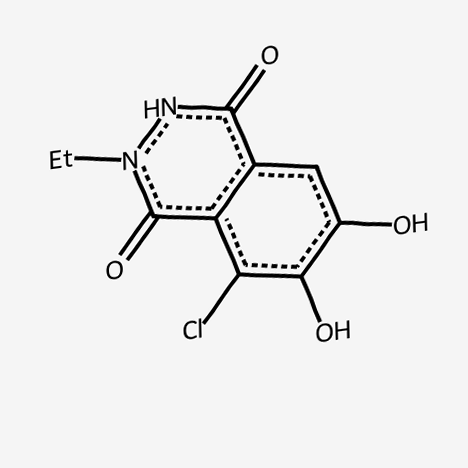 CCn1[nH]c(=O)c2cc(O)c(O)c(Cl)c2c1=O